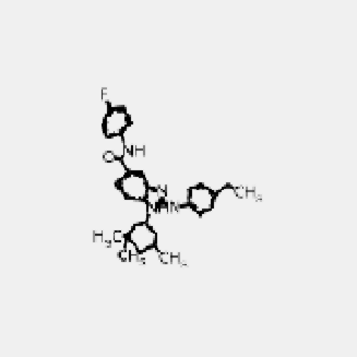 CCc1ccc(Nc2nc3cc(C(=O)Nc4ccc(F)cc4)ccc3n2C2CC(C)CC(C)(C)C2)cc1